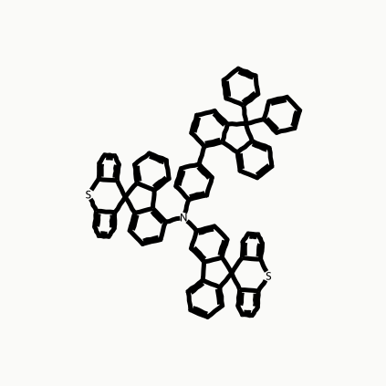 c1ccc(C2(c3ccccc3)c3ccccc3-c3c(-c4ccc(N(c5ccc6c(c5)-c5ccccc5C65c6ccccc6Sc6ccccc65)c5cccc6c5-c5ccccc5C65c6ccccc6Sc6ccccc65)cc4)cccc32)cc1